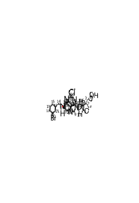 OOC[C@]12CO[C@@H]([C@H](n3cnc4c(NCc5cccc(Br)c5)nc(Cl)nc43)O1)[C@@H]2OCc1ccccc1